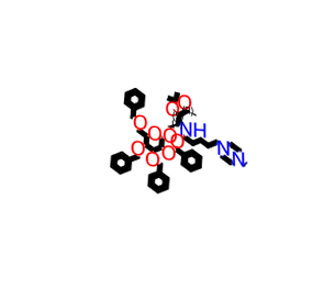 C[C@H]1OC(C)(C)O[C@H]1[C@H](COC1OC(COCc2ccccc2)C(OCc2ccccc2)C(OCc2ccccc2)C1OCc1ccccc1)NC(=O)CCCCN1CCN(C)CC1